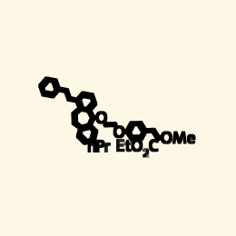 CCCc1ccc2c(c1)C(OCCOc1ccc(CC(OC)C(=O)OCC)cc1)c1cccc(CCc3ccccc3)c1C=C2